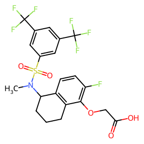 CN(C1CCCc2c1ccc(F)c2OCC(=O)O)S(=O)(=O)c1cc(C(F)(F)F)cc(C(F)(F)F)c1